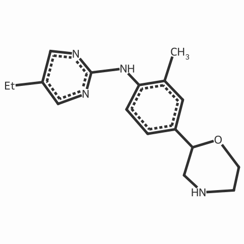 CCc1cnc(Nc2ccc(C3CNCCO3)cc2C)nc1